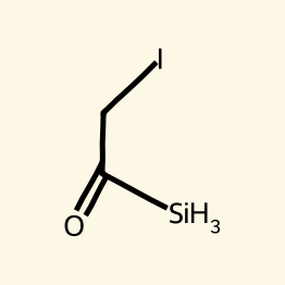 O=C([SiH3])CI